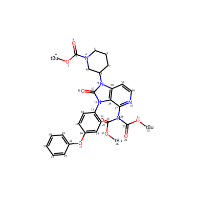 CC(C)(C)OC(=O)N1CCCC(n2c(=O)n(-c3ccc(Oc4ccccc4)cc3)c3c(N(C(=O)OC(C)(C)C)C(=O)OC(C)(C)C)nccc32)C1